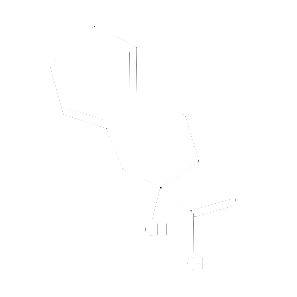 CC1(C(=O)O)CCc2ccccc2C1